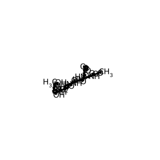 COCCOCC(=O)NCCCC[C@H](NC(=O)CCCN1C(=O)C=CC1=O)C(=O)NCCCC(=O)NCC(=O)Nc1ccc(COCC(=O)Nc2cc(C[C@H](N)C[C@H](C)C(=O)O)ccc2O)cc1